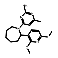 COc1ccc(C2CCCCCN2c2cc(C)nc(N)n2)c(OC)n1